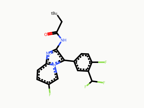 CC(C)(C)CC(=O)Nc1nc2ccc(F)cn2c1-c1ccc(F)c(C(F)F)c1